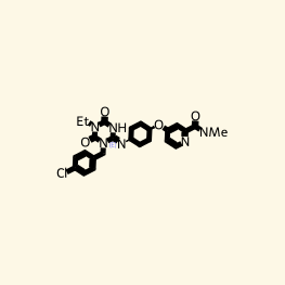 CCn1c(=O)[nH]/c(=N\[C@H]2CC[C@H](Oc3ccnc(C(=O)NC)c3)CC2)n(Cc2ccc(Cl)cc2)c1=O